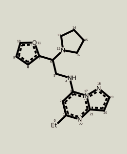 CCc1cc(NCC(c2ccco2)N2CCCC2)n2nccc2n1